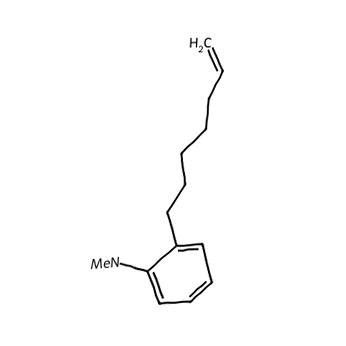 C=CCCCCCc1ccccc1NC